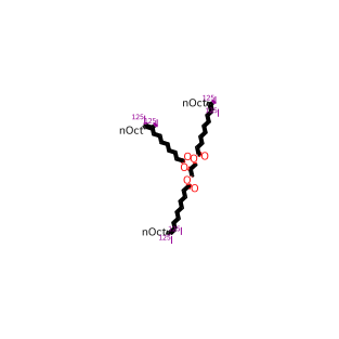 CCCCCCCC/C([125I])=C(/[125I])CCCCCCCC(=O)OCC(COC(=O)CCCCCCC/C([125I])=C(/[125I])CCCCCCCC)OC(=O)CCCCCCC/C([125I])=C(/[125I])CCCCCCCC